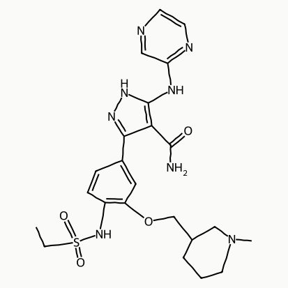 CCS(=O)(=O)Nc1ccc(-c2n[nH]c(Nc3cnccn3)c2C(N)=O)cc1OCC1CCCN(C)C1